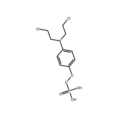 O=P(O)(O)OOc1ccc(N(CCCl)CCCl)cc1